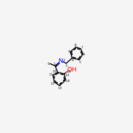 C/C(=N/Cc1ccccc1)c1ccccc1O